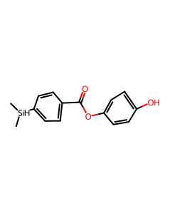 C[SiH](C)c1ccc(C(=O)Oc2ccc(O)cc2)cc1